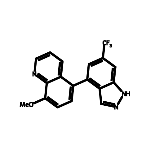 COc1ccc(-c2cc(C(F)(F)F)cc3[nH]ncc23)c2cccnc12